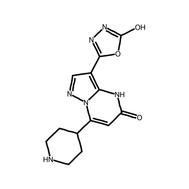 O=c1cc(C2CCNCC2)n2ncc(-c3nnc(O)o3)c2[nH]1